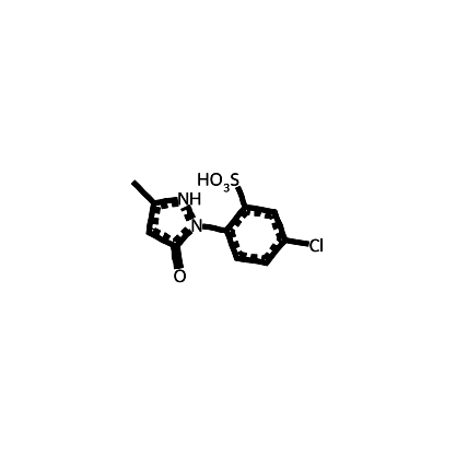 Cc1cc(=O)n(-c2ccc(Cl)cc2S(=O)(=O)O)[nH]1